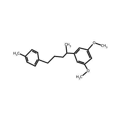 COc1cc(OC)cc(C(C)CCCc2ccc(C)cc2)c1